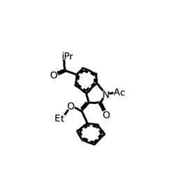 CCOC(=C1C(=O)N(C(C)=O)c2ccc(C(=O)C(C)C)cc21)c1ccccc1